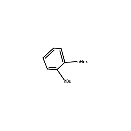 CCC[CH]c1ccccc1CCCCCC